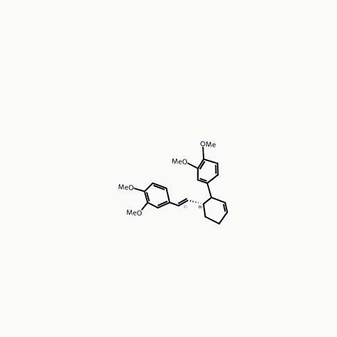 COc1ccc(/C=C/[C@H]2CCC=CC2c2ccc(OC)c(OC)c2)cc1OC